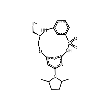 CC(C)C[C@@H]1COc2cc(N3C(C)CCC3C)nc(n2)NS(=O)(=O)c2cccc(c2)N1